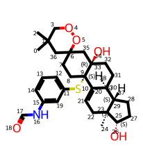 CC1(C)COOC2(CC[C@]3(Sc4cccc(NC=O)c4)C4=CC[C@]5(C)[C@@H](O)CC[C@H]5[C@@H]4CC[C@@]3(O)C2)C1